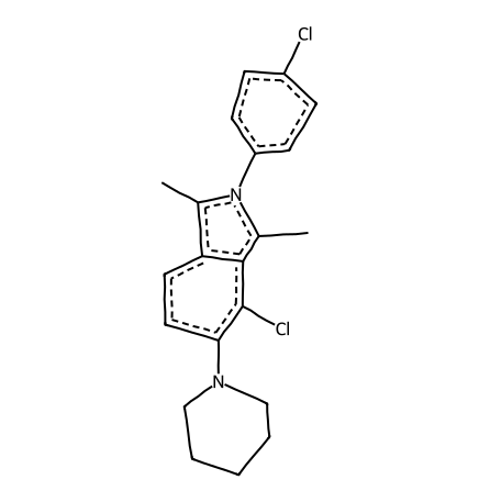 Cc1c2ccc(N3CCCCC3)c(Cl)c2c(C)n1-c1ccc(Cl)cc1